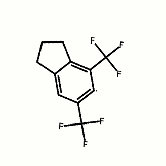 FC(F)(F)c1[c]c(C(F)(F)F)c2c(c1)CCC2